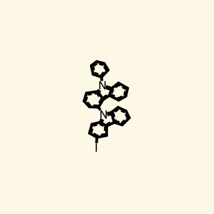 Ic1ccc2c(c1)c1ccccc1n2-c1cccc2c1c1ccccc1n2-c1ccccc1